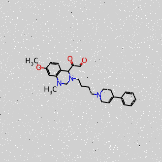 COc1ccc2c(c1)N(C)CN(CCCCN1CC=C(c3ccccc3)CC1)C2C(=O)C=O